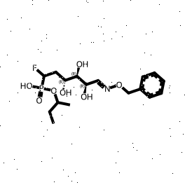 CCC(C)OP(=O)(O)C(F)C[C@@H](O)[C@@H](O)[C@H](O)C=NOCc1ccccc1